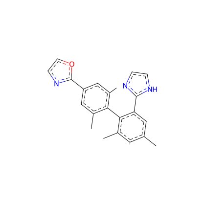 Cc1[c]c(C)c(-c2c(C)cc(-c3ncco3)cc2C)c(-c2ncc[nH]2)c1